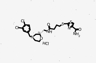 Cl.NC(=O)c1csc(SCCCC(=O)NC[C@H]2CN(Cc3ccc(Cl)c(Cl)c3)CCO2)n1